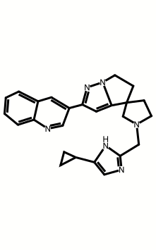 c1ccc2ncc(-c3cc4n(n3)CCC43CCN(Cc4ncc(C5CC5)[nH]4)C3)cc2c1